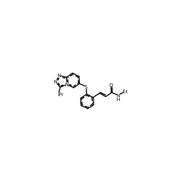 CCNC(=O)C=Cc1ccccc1Sc1ccc2nnc(C(C)C)n2c1